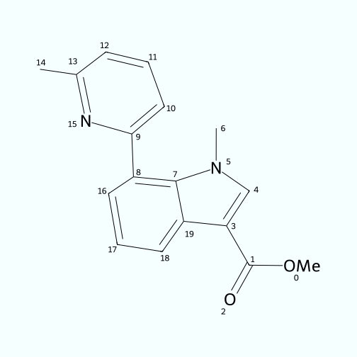 COC(=O)c1cn(C)c2c(-c3cccc(C)n3)cccc12